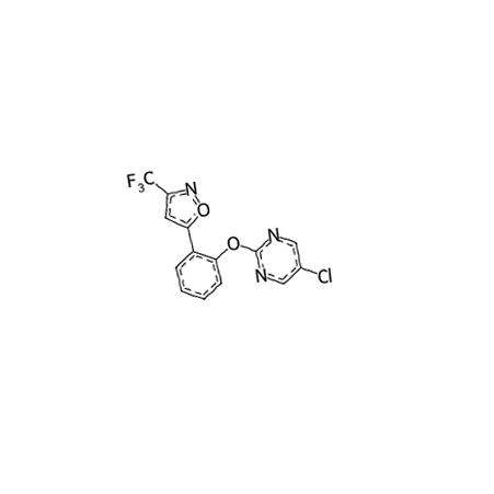 FC(F)(F)c1cc(-c2ccccc2Oc2ncc(Cl)cn2)on1